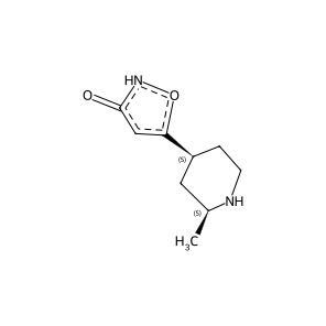 C[C@H]1C[C@@H](c2cc(=O)[nH]o2)CCN1